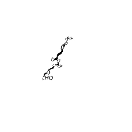 CC(C)(C)OOC=CC(=O)OC(=O)OCCOCC=O